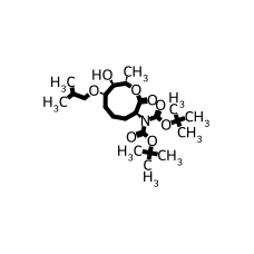 CC(C)CO[C@H]1CCC[C@H](N(C(=O)OC(C)(C)C)C(=O)OC(C)(C)C)C(=O)O[C@@H](C)[C@@H]1O